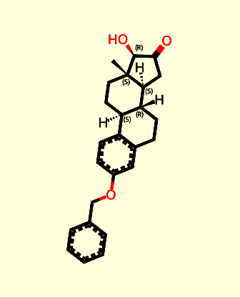 C[C@]12CC[C@@H]3c4ccc(OCc5ccccc5)cc4CC[C@H]3[C@@H]1CC(=O)[C@@H]2O